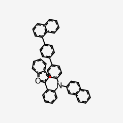 c1ccc(N(c2ccc(-c3ccc(-c4cccc5ccccc45)cc3)cc2)c2ccc3ccccc3c2)c(-c2cc3ccccc3o2)c1